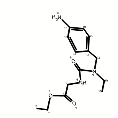 CCOC(=O)CNC(=O)N(CC)Cc1ccc(N)cc1